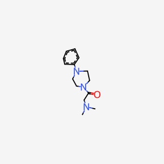 CN(C)CC(=O)N1CCN(c2ccccc2)CC1